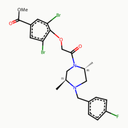 COC(=O)c1cc(Br)c(OCC(=O)N2C[C@H](C)N(Cc3ccc(F)cc3)C[C@H]2C)c(Br)c1